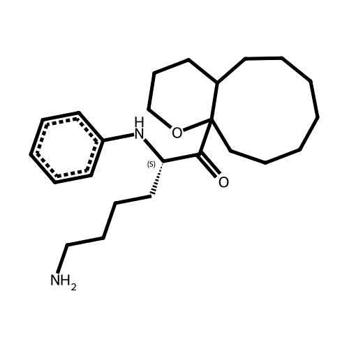 NCCCC[C@H](Nc1ccccc1)C(=O)C12CCCCCCCC1CCCO2